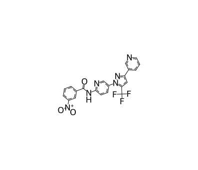 O=C(Nc1ccc(-n2nc(-c3cccnc3)cc2C(F)(F)F)cn1)c1cccc([N+](=O)[O-])c1